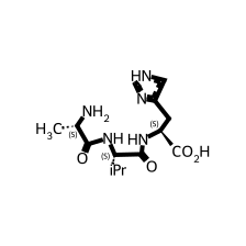 CC(C)[C@H](NC(=O)[C@H](C)N)C(=O)N[C@@H](Cc1c[nH]cn1)C(=O)O